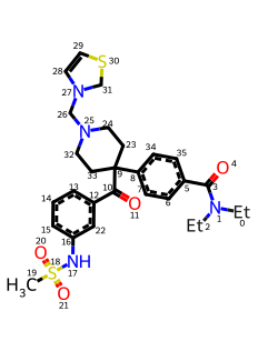 CCN(CC)C(=O)c1ccc(C2(C(=O)c3cccc(NS(C)(=O)=O)c3)CCN(CN3C=CSC3)CC2)cc1